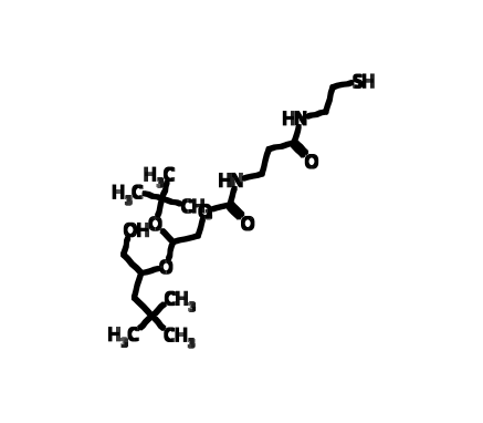 CC(C)(C)CC(CO)OC(COC(=O)NCCC(=O)NCCS)OC(C)(C)C